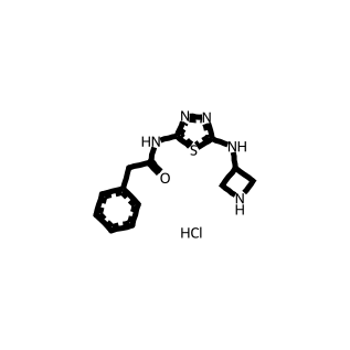 Cl.O=C(Cc1ccccc1)Nc1nnc(NC2CNC2)s1